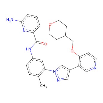 Cc1ccc(NC(=O)c2cccc(N)n2)cc1-n1cc(-c2cnccc2OCC2CCOCC2)cn1